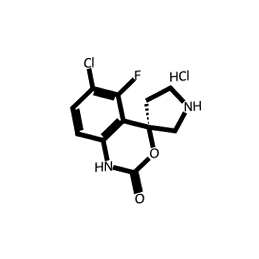 Cl.O=C1Nc2ccc(Cl)c(F)c2[C@]2(CCNC2)O1